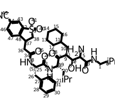 CC(C)CNC(=O)C(N)[C@@H](O)[C@H](CC1CCCCC1)C(=O)[C@H](CC(C)C)NC(=O)[C@H](Cc1ccccc1)NC(=O)CC1CS(=O)(=O)c2cc(C#N)ccc21